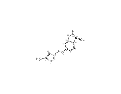 Cn1ccc(COc2ccc3c(c2)CNC3=O)n1